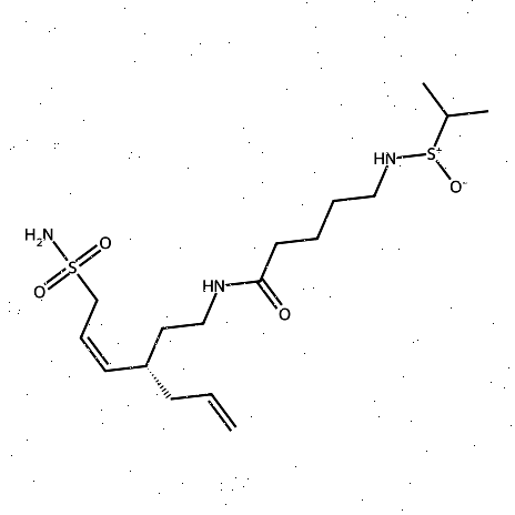 C=CC[C@H](/C=C\CS(N)(=O)=O)CCNC(=O)CCCCN[S+]([O-])C(C)C